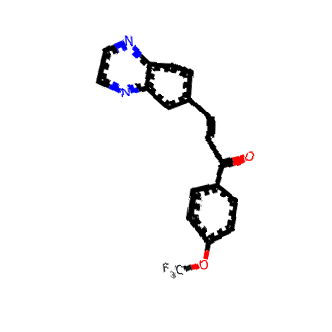 O=C(C=Cc1ccc2nccnc2c1)c1ccc(OC(F)(F)F)cc1